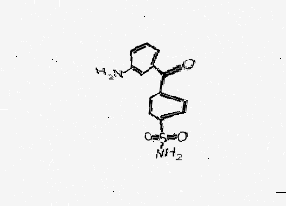 Nc1cccc(C(=O)c2ccc(S(N)(=O)=O)cc2)c1